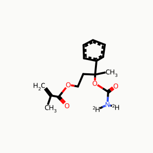 [2H]N([2H])C(=O)OC(C)(CCOC(=O)C(=C)C)c1ccccc1